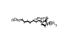 CCCCCCCCCCCCCCCCCn1cc[n+](C)c1CCCCC